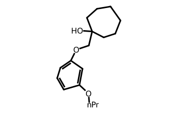 CCCOc1cccc(OCC2(O)CCCCCC2)c1